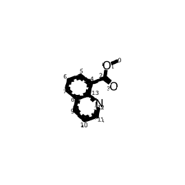 COC(=O)c1cccc2c[c]cnc12